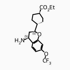 CCOC(=O)[C@H]1CC[C@H]([C@@H]2C[C@H](N)c3ccc(OC(F)(F)F)cc3O2)CC1